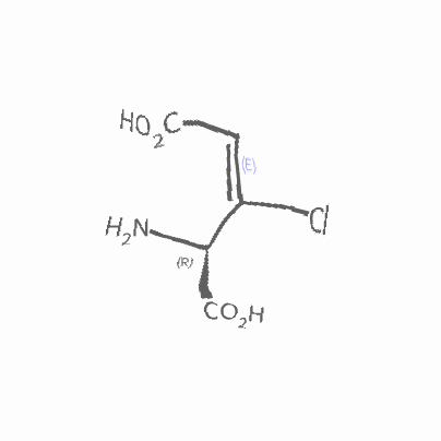 N[C@H](C(=O)O)/C(Cl)=C\C(=O)O